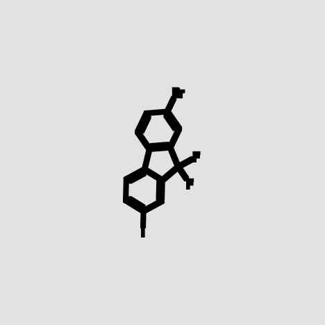 FC1(F)c2cc(Br)ccc2-c2ccc(I)cc21